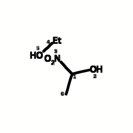 CC(O)[N+](=O)[O-].CCO